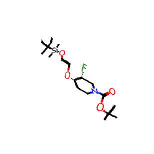 CC(C)(C)OC(=O)N1CC[C@H](OCCO[Si](C)(C)C(C)(C)C)[C@H](F)C1